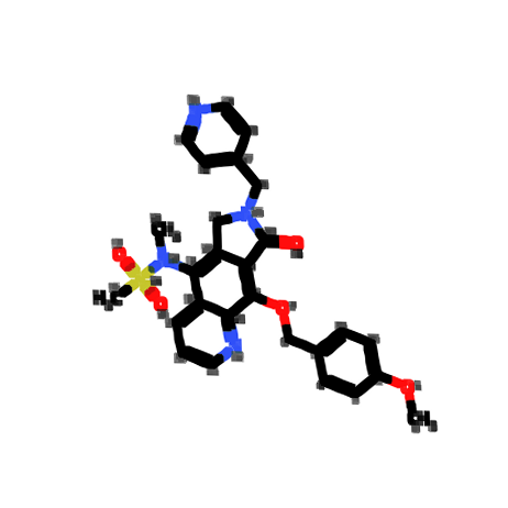 COc1ccc(COc2c3c(c(N(C)S(C)(=O)=O)c4cccnc24)CN(Cc2ccncc2)C3=O)cc1